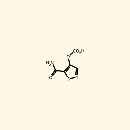 NC(=O)c1sncc1OC(=O)O